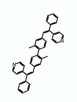 Cc1cc(C=C(c2ccccc2)c2ccncc2)ccc1-c1ccc(C=C(c2ccccc2)c2ccncc2)cc1C